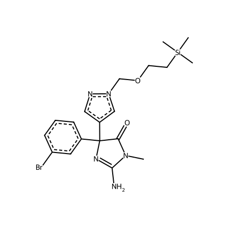 CN1C(=O)C(c2cccc(Br)c2)(c2cnn(COCC[Si](C)(C)C)c2)N=C1N